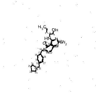 CCC[C@H](CO)Nc1nc(N)nc2cnn(Cc3ccc(CN4CCCC4)cc3)c(=O)c12